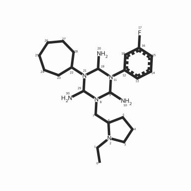 CCN1CCCC1CN1C(N)N(c2cccc(F)c2)C(N)N(C2CCCCCC2)C1N